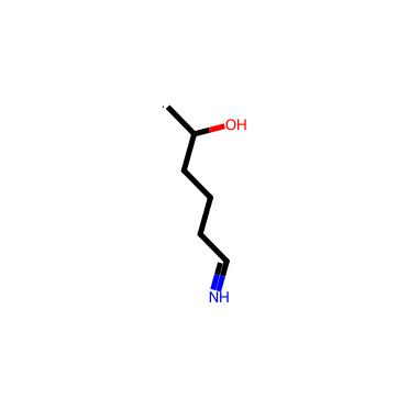 [CH2]C(O)CCCC=N